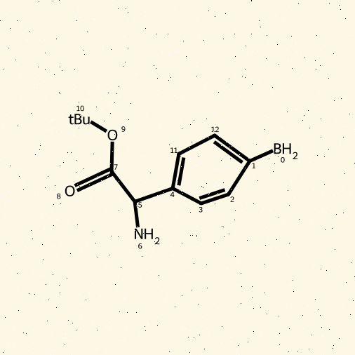 Bc1ccc(C(N)C(=O)OC(C)(C)C)cc1